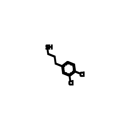 SCCCc1ccc(Cl)c(Cl)c1